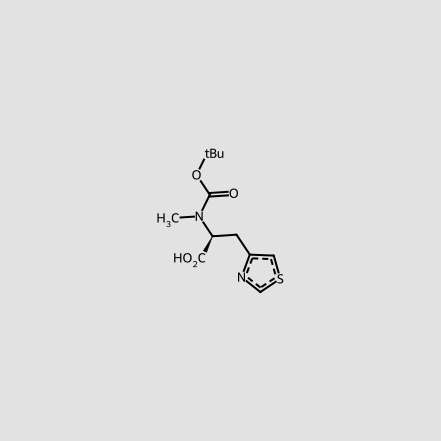 CN(C(=O)OC(C)(C)C)[C@@H](Cc1cscn1)C(=O)O